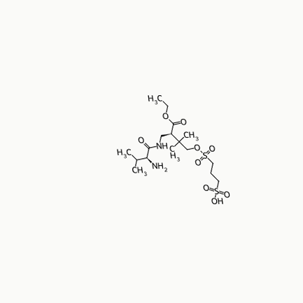 CCOC(=O)[C@H](CNC(=O)[C@@H](N)C(C)C)C(C)(C)COS(=O)(=O)CCCS(=O)(=O)O